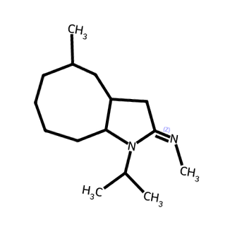 C/N=C1/CC2CC(C)CCCCC2N1C(C)C